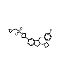 O=S(=O)(CC1CC1)N1CC(c2ccc3c(c2)C(Cc2cccc(F)c2)C(N2CCC2)C3)C1